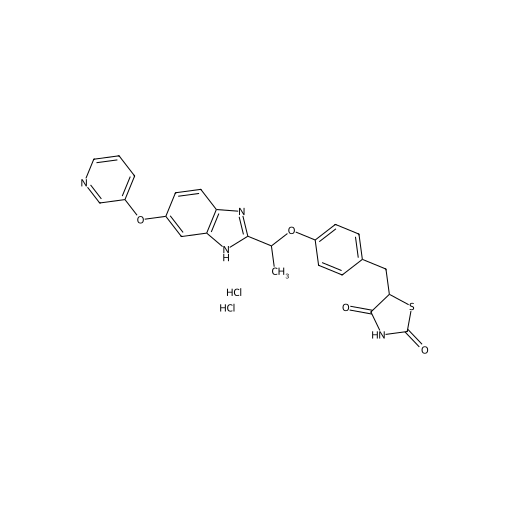 CC(Oc1ccc(CC2SC(=O)NC2=O)cc1)c1nc2ccc(Oc3cccnc3)cc2[nH]1.Cl.Cl